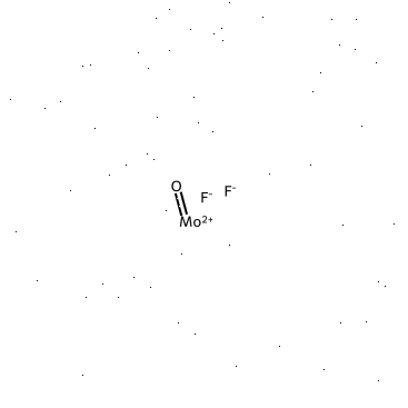 [F-].[F-].[O]=[Mo+2]